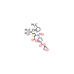 CC(C)(C)c1cc(N(C(=O)[C@H]2CC[C@H](C)CC2)C2CCN(C(=O)O[C@@H]3CCOC3)CC2)c(C(=O)O)s1